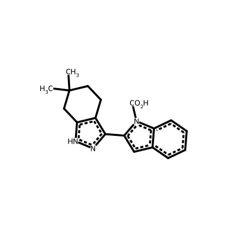 CC1(C)CCc2c(-c3cc4ccccc4n3C(=O)O)n[nH]c2C1